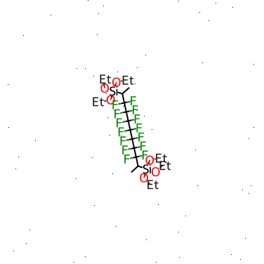 CCO[Si](OCC)(OCC)C(C)C(F)(F)C(F)(F)C(F)(F)C(F)(F)C(F)(F)C(F)(F)C(F)(F)C(C)[Si](OCC)(OCC)OCC